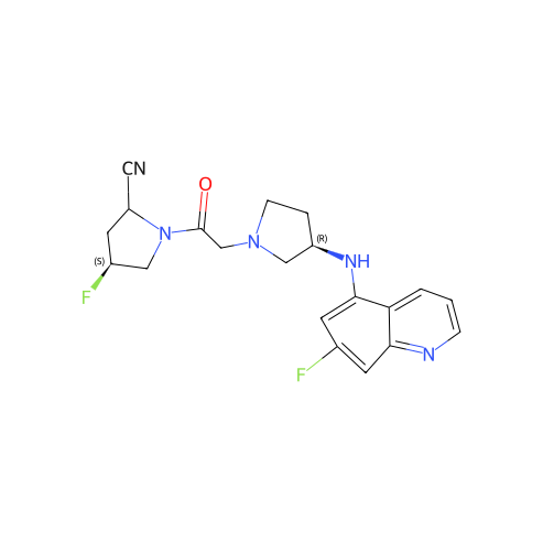 N#CC1C[C@H](F)CN1C(=O)CN1CC[C@@H](Nc2cc(F)cc3ncccc23)C1